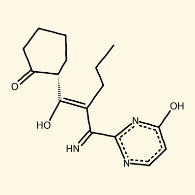 CCC/C(C(=N)c1nccc(O)n1)=C(/O)[C@H]1CCCCC1=O